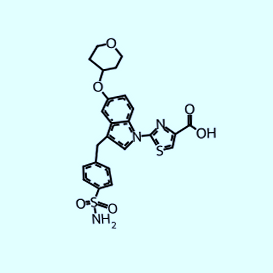 NS(=O)(=O)c1ccc(Cc2cn(-c3nc(C(=O)O)cs3)c3ccc(OC4CCOCC4)cc23)cc1